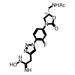 CC(=O)NC[C@H]1CN(c2ccc(-n3cc(CC(=N)NO)nn3)c(F)c2)C(=O)O1